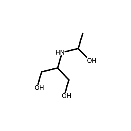 CC(O)NC(CO)CO